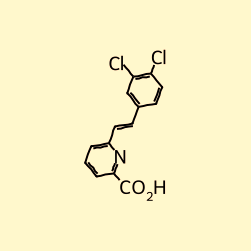 O=C(O)c1cccc(/C=C/c2ccc(Cl)c(Cl)c2)n1